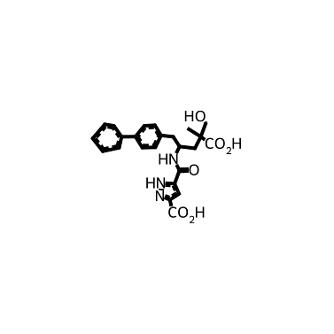 CC(CO)(CC(Cc1ccc(-c2ccccc2)cc1)NC(=O)c1cc(C(=O)O)n[nH]1)C(=O)O